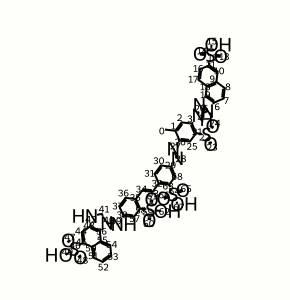 Cc1cc(-n2n3c4ccc5cc(S(=O)(=O)O)ccc5c4n23)c([SH](=O)=O)cc1N=Nc1ccc(C=Cc2ccc(NN3CNc4cc(S(=O)(=O)O)c5ccccc5c43)cc2S(=O)(=O)O)c(S(=O)(=O)O)c1